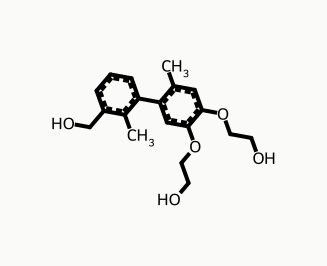 Cc1cc(OCCO)c(OCCO)cc1-c1cccc(CO)c1C